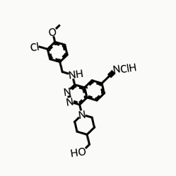 COc1ccc(CNc2nnc(N3CCC(CO)CC3)c3ccc(C#N)cc23)cc1Cl.Cl